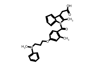 Cc1cc(OCCCN(C)c2ccccc2)ccc1C(=O)n1c(C)c(CC(=O)O)c2ccccc21